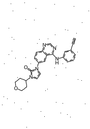 C#Cc1cccc(Nc2ncnc3ccc(-n4ccn(C5CCOCC5)c4=O)cc23)c1